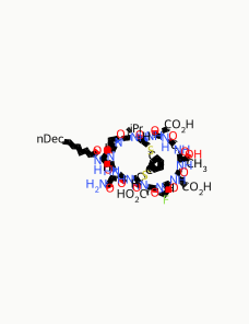 CCCCCCCCCCCCCCCCCC(=O)N[C@H]1C[C@H]2C(=O)N[C@@H](CCC(N)=O)C(=O)N[C@H]3CSCc4ccccc4CSC[C@H](NC(=O)[C@H](CCC(=O)O)NC(=O)CNC(=O)[C@H]([C@@H](C)O)NC(=O)[C@H](CCC(=O)O)NC(=O)[C@@H]4C[C@H](F)CN4C(=O)[C@H](CC(=O)O)NC3=O)C(=O)N[C@@H](CC(C)C)C(=O)N3CCC[C@@H]3C(=O)N2C1